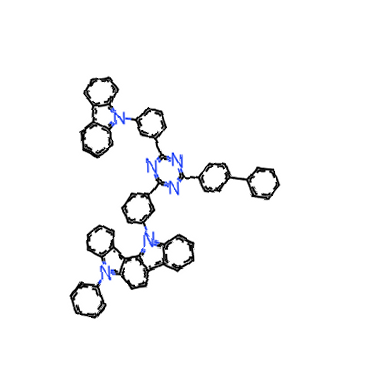 c1ccc(-c2ccc(-c3nc(-c4cccc(-n5c6ccccc6c6ccccc65)c4)nc(-c4cccc(-n5c6ccccc6c6ccc7c(c8ccccc8n7-c7ccccc7)c65)c4)n3)cc2)cc1